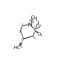 C#CC1CCN(C)S(=O)(=O)C1